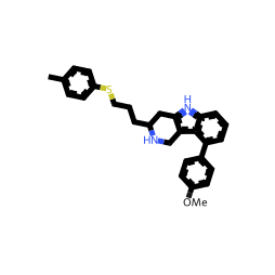 COc1ccc(-c2cccc3[nH]c4c(c23)CNC(CCCSc2ccc(C)cc2)C4)cc1